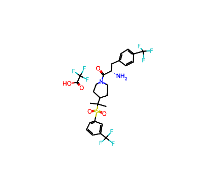 CC(C)(C1CCN(C(=O)[C@@H](N)Cc2ccc(C(F)(F)F)cc2)CC1)S(=O)(=O)c1cccc(C(F)(F)F)c1.O=C(O)C(F)(F)F